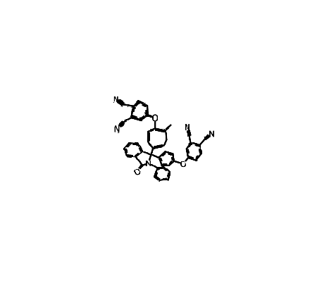 CC1=C(Oc2ccc(C#N)c(C#N)c2)C=CC(C2(c3ccc(Oc4ccc(C#N)c(C#N)c4)cc3)c3ccccc3C(=O)N2c2ccccc2)=CC1